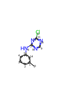 [CH2]c1cccc(Nc2ncnc(Cl)n2)c1